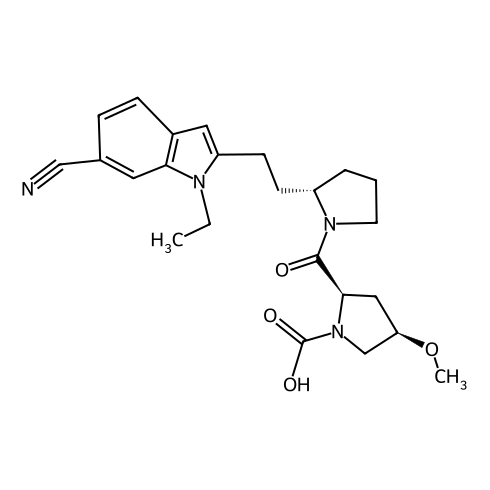 CCn1c(CC[C@@H]2CCCN2C(=O)[C@H]2C[C@@H](OC)CN2C(=O)O)cc2ccc(C#N)cc21